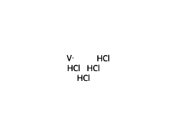 Cl.Cl.Cl.Cl.[V]